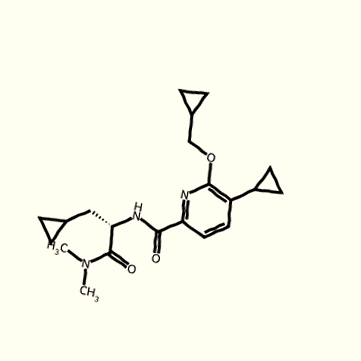 CN(C)C(=O)[C@H](CC1CC1)NC(=O)c1ccc(C2CC2)c(OCC2CC2)n1